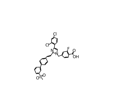 CS(=O)(=O)c1cccc(-c2ccc(C=Cc3nc(-c4ccc(Cl)cc4Cl)cn3Cc3ccc(C(=O)O)c(F)c3)cc2)c1